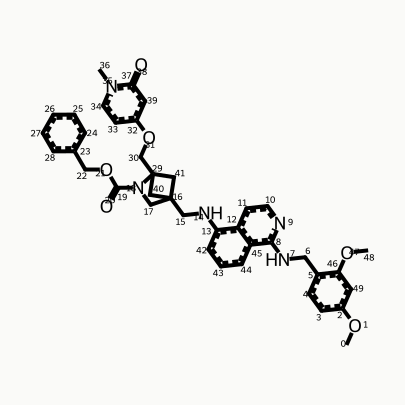 COc1ccc(CNc2nccc3c(NCC45CN(C(=O)OCc6ccccc6)C(COc6ccn(C)c(=O)c6)(C4)C5)cccc23)c(OC)c1